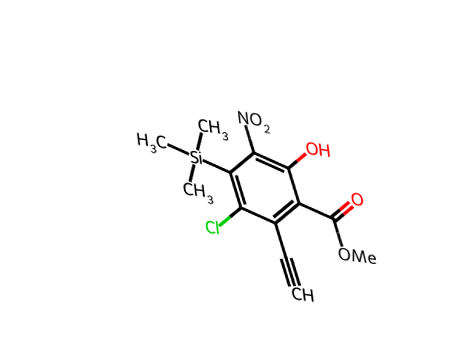 C#Cc1c(Cl)c([Si](C)(C)C)c([N+](=O)[O-])c(O)c1C(=O)OC